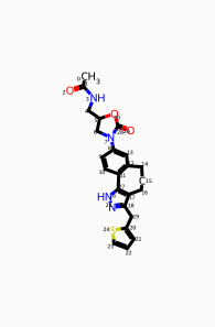 CC(=O)NCC1CN(c2ccc3c(c2)CCCc2c(Cc4cccs4)n[nH]c2-3)C(=O)O1